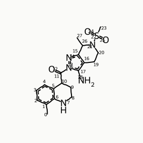 Cc1cccc2c1NCCC2C(=O)n1nc2c(c1N)CCN(S(C)(=O)=O)C2C